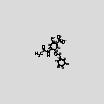 CC(=O)Nc1cc(F)c([N+](=O)[O-])cc1OCc1ccccc1